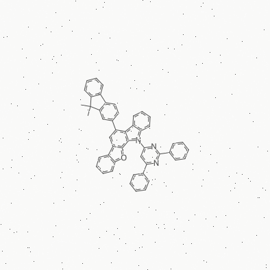 CC1(C)c2ccccc2-c2ccc(-c3cc4c5ccccc5oc4c4c3c3ccccc3n4-c3cc(-c4ccccc4)nc(-c4ccccc4)n3)cc21